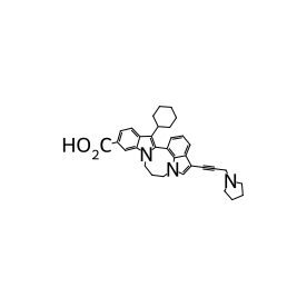 O=C(O)c1ccc2c(C3CCCCC3)c3n(c2c1)CCCn1cc(C#CCN2CCCC2)c2cccc-3c21